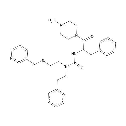 CN1CCN(C(=O)C(Cc2ccccc2)NC(=O)N(CCSCc2cccnc2)CCc2ccccc2)CC1